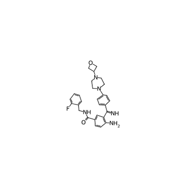 N=C(c1ccc(N2CCN(C3COC3)CC2)cc1)c1cc(C(=O)NCc2ccccc2F)ccc1N